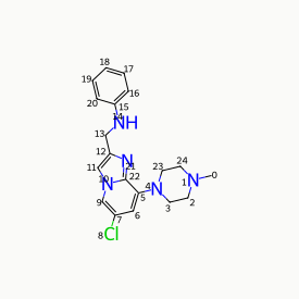 CN1CCN(c2cc(Cl)cn3cc(CNc4ccccc4)nc23)CC1